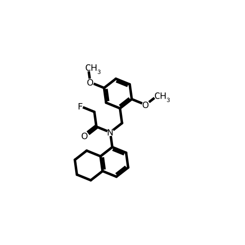 COc1ccc(OC)c(CN(C(=O)CF)c2cccc3c2CCCC3)c1